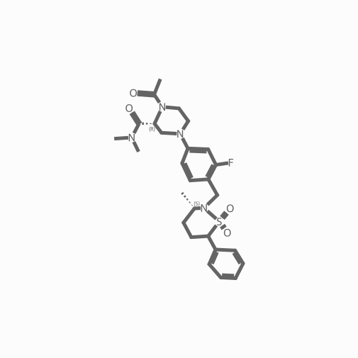 CC(=O)N1CCN(c2ccc(CN3[C@@H](C)CCC(c4ccccc4)S3(=O)=O)c(F)c2)C[C@@H]1C(=O)N(C)C